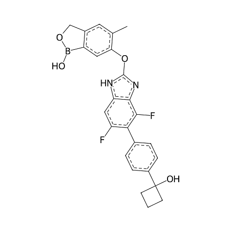 Cc1cc2c(cc1Oc1nc3c(F)c(-c4ccc(C5(O)CCC5)cc4)c(F)cc3[nH]1)B(O)OC2